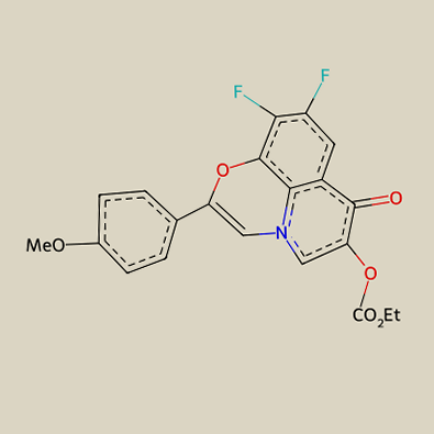 CCOC(=O)Oc1cn2c3c(c(F)c(F)cc3c1=O)OC(c1ccc(OC)cc1)=C2